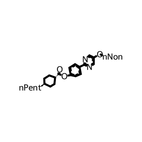 CCCCCCCCCOc1cnc(-c2ccc(OC(=O)[C@H]3CC[C@H](CCCCC)CC3)cc2)nc1